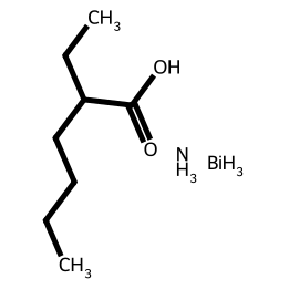 CCCCC(CC)C(=O)O.N.[BiH3]